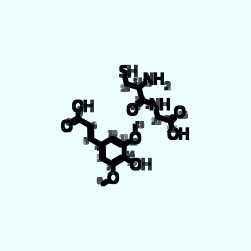 COc1cc(C=CC(=O)O)cc(OC)c1O.NC(CS)C(=O)NCC(=O)O